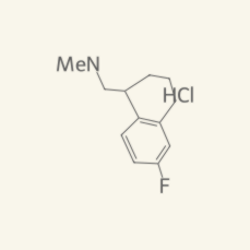 CNCC1CCCc2cc(F)ccc21.Cl